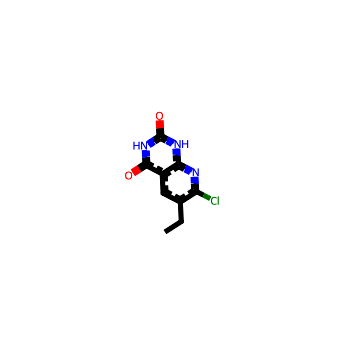 CCc1cc2c(=O)[nH]c(=O)[nH]c2nc1Cl